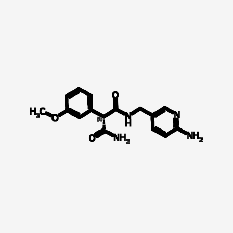 COc1cccc([C@@H](C(N)=O)C(=O)NCc2ccc(N)nc2)c1